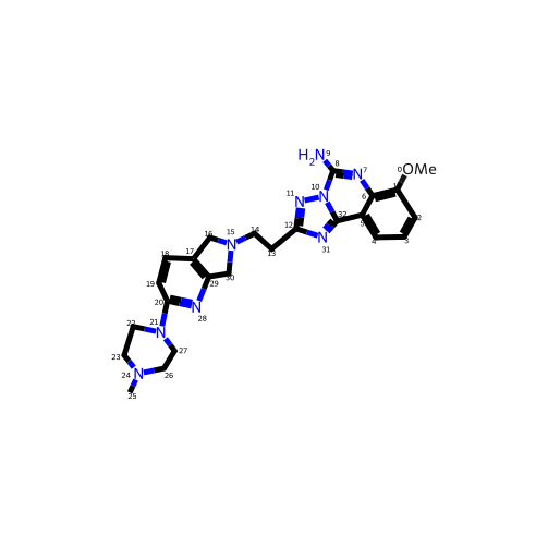 COc1cccc2c1nc(N)n1nc(CCN3Cc4ccc(N5CCN(C)CC5)nc4C3)nc21